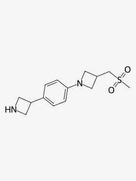 CS(=O)(=O)CC1CN(c2ccc(C3CNC3)cc2)C1